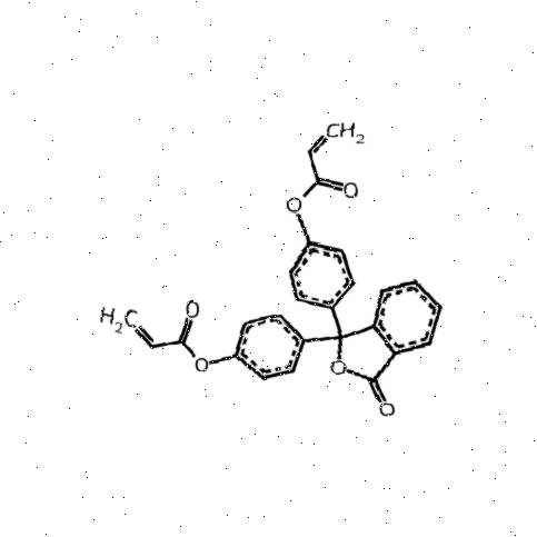 C=CC(=O)Oc1ccc(C2(c3ccc(OC(=O)C=C)cc3)OC(=O)c3ccccc32)cc1